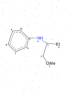 CCC(COC)Nc1ccccc1